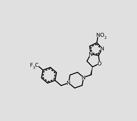 O=[N+]([O-])c1cn2c(n1)O[C@@H](CN1CCN(Cc3ccc(C(F)(F)F)cc3)CC1)C2